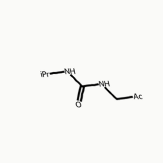 CC(=O)CNC(=O)NC(C)C